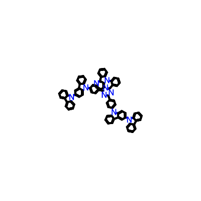 c1ccc(-n2c3ccccc3c3ncccc32)c(-c2nc(-c3ccc(-n4c5ccccc5c5cc(-n6c7ccccc7c7ccccc76)ccc54)cc3)nc(-c3ccc(-n4c5ccccc5c5cc(-n6c7ccccc7c7ccccc76)ccc54)cc3)n2)c1